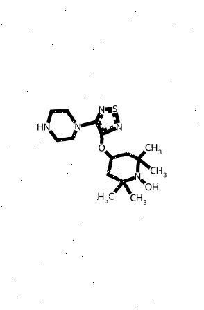 CC1(C)CC(Oc2nsnc2N2CCNCC2)CC(C)(C)N1O